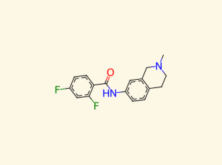 CN1CCc2ccc(NC(=O)c3ccc(F)cc3F)cc2C1